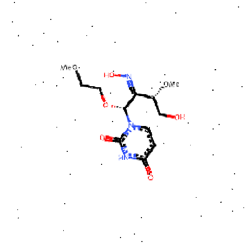 COCCO[C@H](/C(=N\O)[C@@H](CO)OC)n1ccc(=O)[nH]c1=O